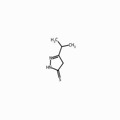 CC(C)C1=NNC(=S)C1